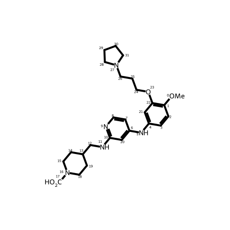 COc1ccc(Nc2ccnc(NCC3CCN(C(=O)O)CC3)c2)cc1OCCCN1CCCC1